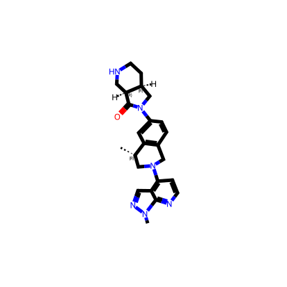 C[C@H]1CN(c2ccnc3c2cnn3C)Cc2ccc(N3C[C@@H]4CCNC[C@@H]4C3=O)cc21